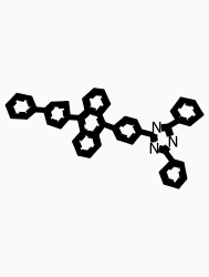 c1ccc(-c2ccc(-c3c4ccccc4c(-c4ccc(-c5nc(-c6ccccc6)nc(-c6ccccc6)n5)cc4)c4ccccc34)cc2)cc1